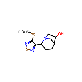 CCCCCSc1nsnc1C1CCC2CN1CC2O